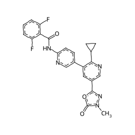 Cn1nc(-c2cnc(C3CC3)c(-c3ccc(NC(=O)c4c(F)cccc4F)nc3)c2)oc1=O